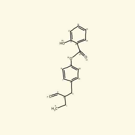 CCC(C=O)Cc1ccc(OC(=O)c2ccccc2O)cc1